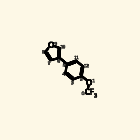 FC(F)(F)Oc1ccc(-c2ccoc2)cc1